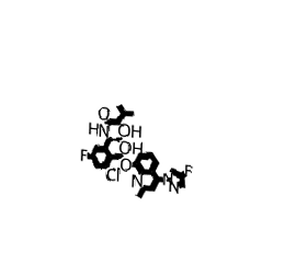 Cc1cc(-n2cc(F)cn2)c2cccc(OCc3c(Cl)cc(F)cc3[C@H](CO)NC(=O)[C@@H](O)C(C)C)c2n1